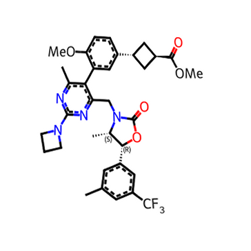 COc1ccc([C@H]2C[C@H](C(=O)OC)C2)cc1-c1c(C)nc(N2CCC2)nc1CN1C(=O)O[C@H](c2cc(C)cc(C(F)(F)F)c2)[C@@H]1C